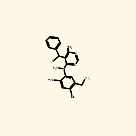 COc1cc(N)c(CN)cc1N(N)c1ncnc(N)c1C(N)c1ccccc1